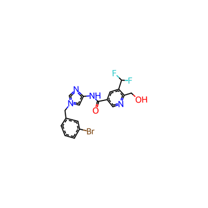 O=C(Nc1cn(Cc2cccc(Br)c2)cn1)c1cnc(CO)c(C(F)F)c1